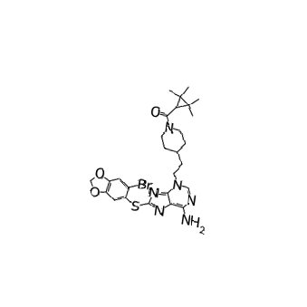 CC1(C)C(C(=O)N2CCC(CCn3cnc(N)c4nc(Sc5cc6c(cc5Br)OCO6)nc3-4)CC2)C1(C)C